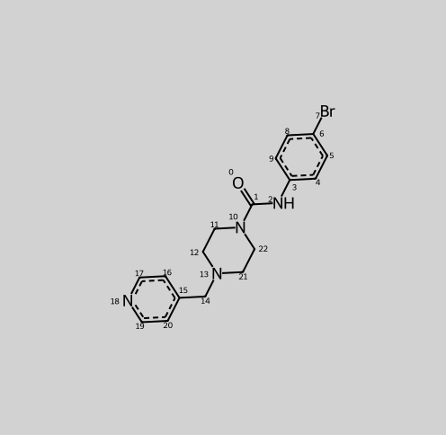 O=C(Nc1ccc(Br)cc1)N1CCN(Cc2ccncc2)CC1